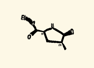 CCOC(=O)[C@@H]1C[C@H](C)C(=O)N1